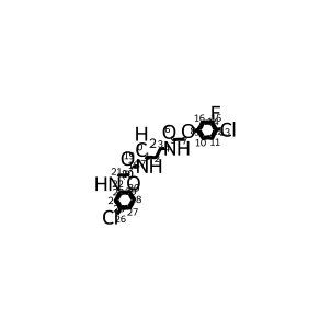 C=C(CCNC(=O)COc1ccc(Cl)c(F)c1)NC(=O)[C@H]1CNc2cc(Cl)ccc2O1